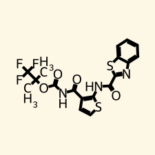 CC(C)(OC(=O)NC(=O)c1ccsc1NC(=O)c1nc2ccccc2s1)C(F)(F)F